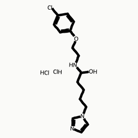 Cl.Cl.OC(CCCCn1ccnc1)NCCOc1ccc(Cl)cc1